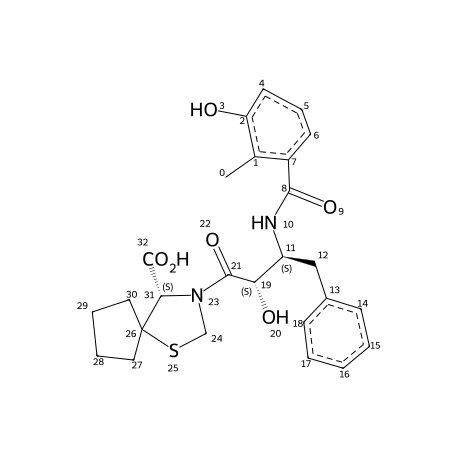 Cc1c(O)cccc1C(=O)N[C@@H](Cc1ccccc1)[C@H](O)C(=O)N1CSC2(CCCC2)[C@@H]1C(=O)O